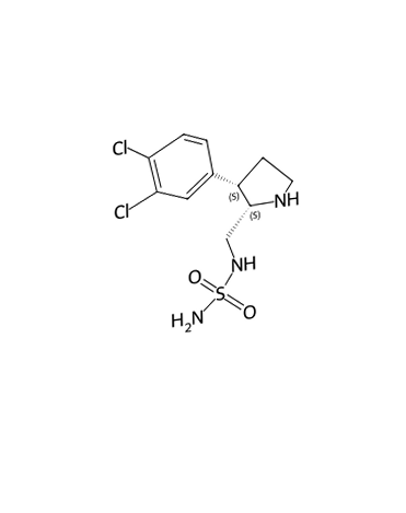 NS(=O)(=O)NC[C@H]1NCC[C@H]1c1ccc(Cl)c(Cl)c1